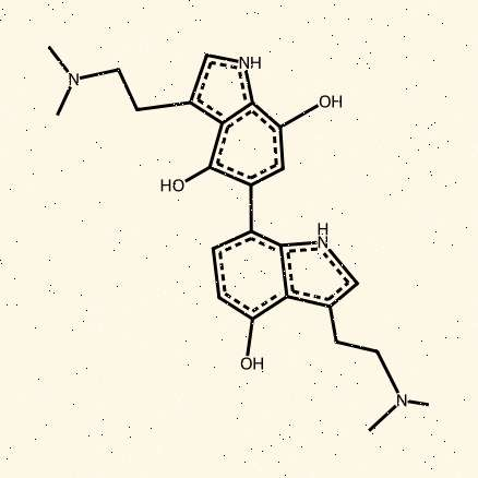 CN(C)CCc1c[nH]c2c(-c3cc(O)c4[nH]cc(CCN(C)C)c4c3O)ccc(O)c12